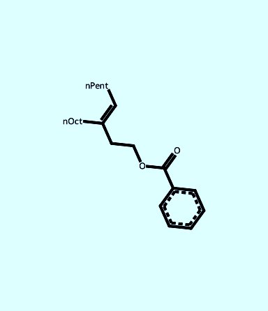 CCCCCC=C(CCCCCCCC)CCOC(=O)c1ccccc1